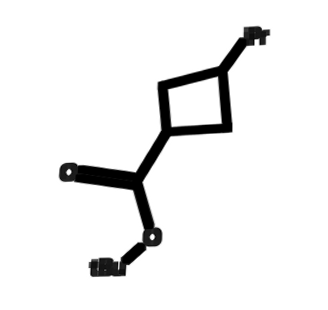 CC(C)C1CC(C(=O)OC(C)(C)C)C1